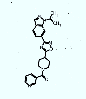 CC(C)n1ncc2ccc(-c3noc(C4CCN(C(=O)c5cccnc5)CC4)n3)cc21